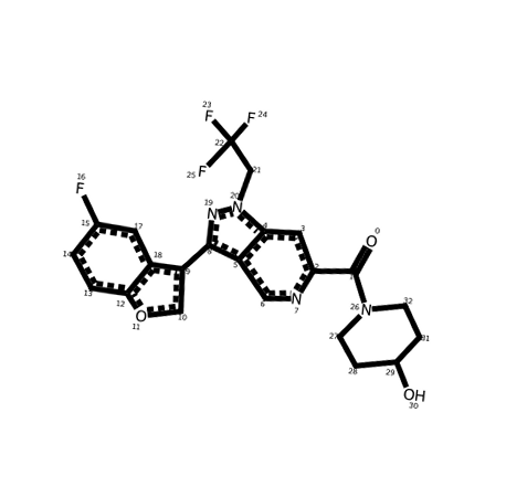 O=C(c1cc2c(cn1)c(-c1coc3ccc(F)cc13)nn2CC(F)(F)F)N1CCC(O)CC1